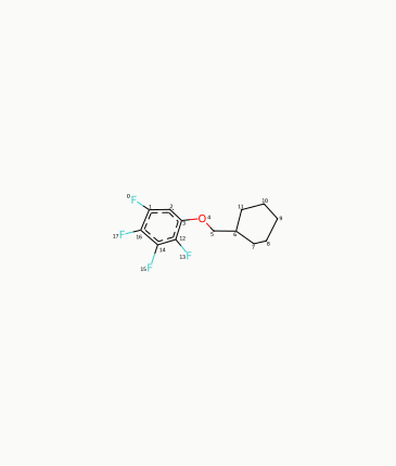 Fc1[c]c(OCC2CCCCC2)c(F)c(F)c1F